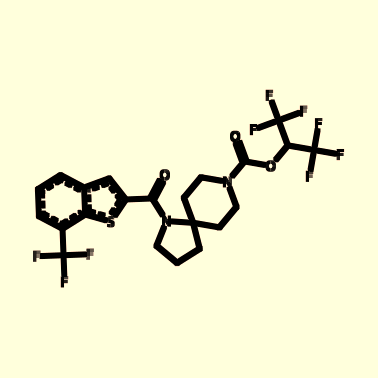 O=C(OC(C(F)(F)F)C(F)(F)F)N1CCC2(CCCN2C(=O)c2cc3cccc(C(F)(F)F)c3s2)CC1